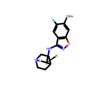 COc1cc2onc(N[C@H]3CN4CCC3CC4)c2cc1F